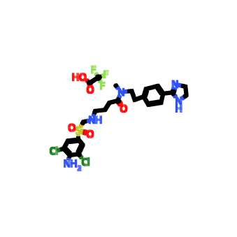 CN(CCc1ccc(C2=NCCN2)cc1)C(=O)CCCNCS(=O)(=O)c1cc(Cl)c(N)c(Cl)c1.O=C(O)C(F)(F)F